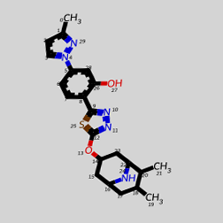 Cc1ccn(-c2ccc(-c3nnc(OC4CC5CC(C)C(C)C(C4)N5)s3)c(O)c2)n1